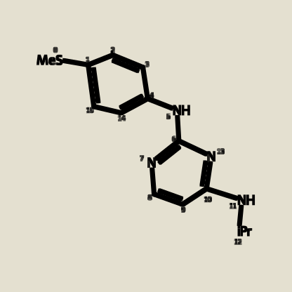 CSc1ccc(Nc2nccc(NC(C)C)n2)cc1